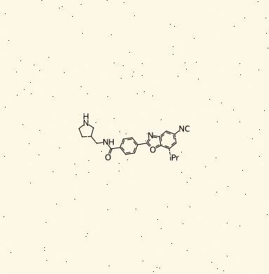 [C-]#[N+]c1cc(C(C)C)c2oc(-c3ccc(C(=O)NCC4CCNC4)cc3)nc2c1